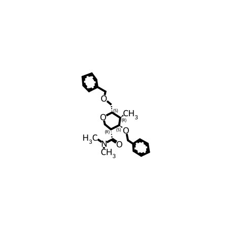 C[C@@H]1[C@H](OCc2ccccc2)[C@H](C(=O)N(C)C)CO[C@@H]1COCc1ccccc1